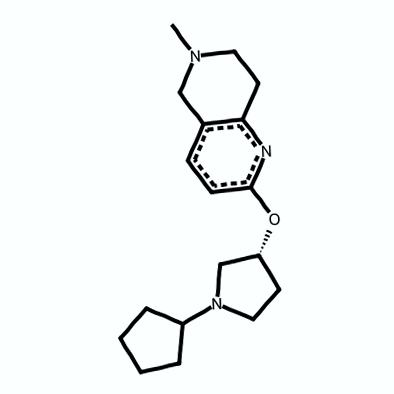 CN1CCc2nc(O[C@@H]3CCN(C4CCCC4)C3)ccc2C1